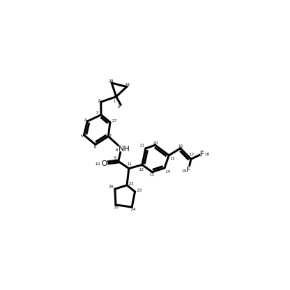 CC1(Cc2cccc(NC(=O)C(c3ccc(C=C(F)F)cc3)C3CCCC3)c2)CC1